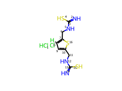 Cl.Cl.N=C(S)NCc1ccc(CNC(=N)S)s1